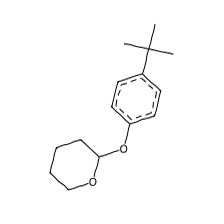 CC(C)(C)c1ccc(OC2CCCCO2)cc1